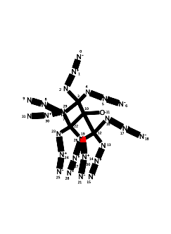 [N-]=[N+]=NC(N=[N+]=[N-])(N=[N+]=[N-])C([O])(C(N=[N+]=[N-])(N=[N+]=[N-])N=[N+]=[N-])C(N=[N+]=[N-])(N=[N+]=[N-])N=[N+]=[N-]